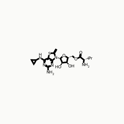 C=C1Sc2c(NC3CC3)nc(N)nc2N1[C@@H]1O[C@H](COC(=O)[C@@H](N)C(C)C)[C@@H](O)[C@H]1O